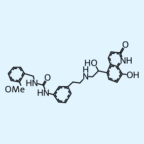 COc1ccccc1CNC(=O)Nc1cccc(CCNCC(O)c2ccc(O)c3[nH]c(=O)ccc23)c1